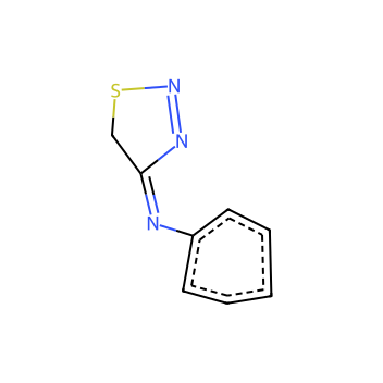 c1ccc(N=C2CSN=N2)cc1